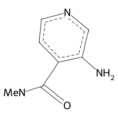 CNC(=O)c1ccncc1N